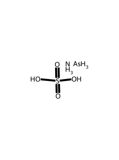 N.O=S(=O)(O)O.[AsH3]